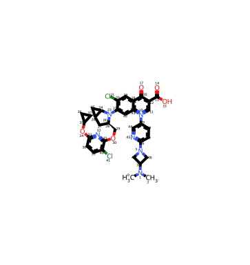 CN(C)C1CN(c2ccc(-n3cc(C(=O)O)c(=O)c4cc(Cl)c(N5C6CC6C[C@@H]5COc5nc(OC6CC6)ccc5Cl)cc43)cn2)C1